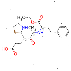 CCOC(=O)[C@H](CCc1ccccc1)N[C@@H](C)C(=O)[C@H](CCC(=O)O)C1NCCS1